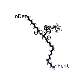 CCCCC/C=C\C/C=C\CCCC/C=C\CCCC(=O)O[C@H](COC(=O)CCCCCCCCCCCCCCCCC)COP(=O)([O-])OCC[N+](C)(C)C